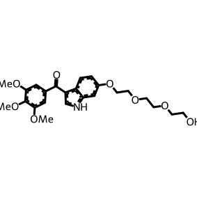 COc1cc(C(=O)c2c[nH]c3cc(OCCOCCOCCO)ccc23)cc(OC)c1OC